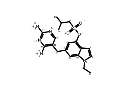 CCn1ccc2c(OS(=O)(=O)CC(C)C)cc(Cc3cnc(N)nc3N)cc21